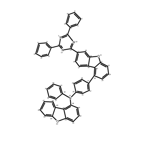 c1ccc(-c2nc(-c3ccccc3)nc(-c3ccc4c(c3)oc3cccc(-c5ccc(N(c6ccccc6)c6cccc7oc8ccccc8c67)cc5)c34)n2)cc1